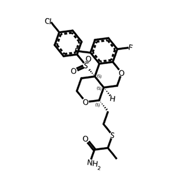 CC(SCC[C@@H]1OCC[C@@]2(S(=O)(=O)c3ccc(Cl)cc3)c3c(F)ccc(F)c3OC[C@@H]12)C(N)=O